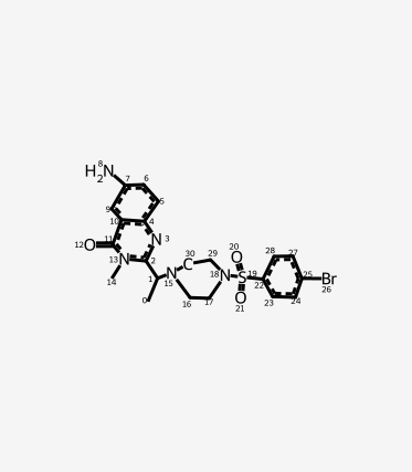 CC(c1nc2ccc(N)cc2c(=O)n1C)N1CCN(S(=O)(=O)c2ccc(Br)cc2)CC1